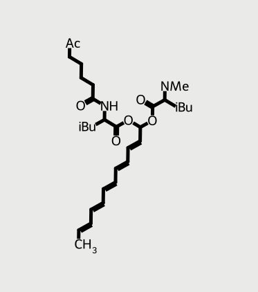 C/C=C/C=C/C=C/C=C/C=C/C(OC(=O)C(NC)C(C)CC)OC(=O)C(NC(=O)CCCCC(C)=O)C(C)CC